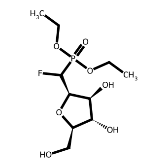 CCOP(=O)(OCC)C(F)[C@@H]1O[C@H](CO)[C@@H](O)[C@@H]1O